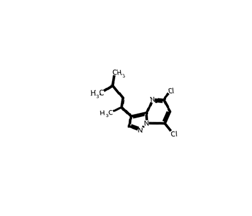 CC(C)CC(C)c1cnn2c(Cl)cc(Cl)nc12